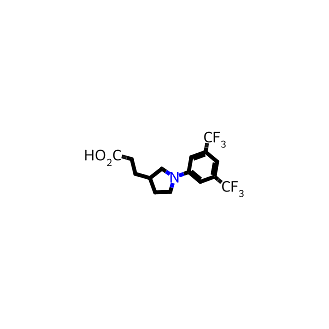 O=C(O)CCC1CCN(c2cc(C(F)(F)F)cc(C(F)(F)F)c2)C1